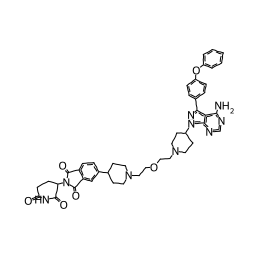 Nc1ncnc2c1c(-c1ccc(Oc3ccccc3)cc1)nn2C1CCN(CCOCCN2CCC(c3ccc4c(c3)C(=O)N(C3CCC(=O)NC3=O)C4=O)CC2)CC1